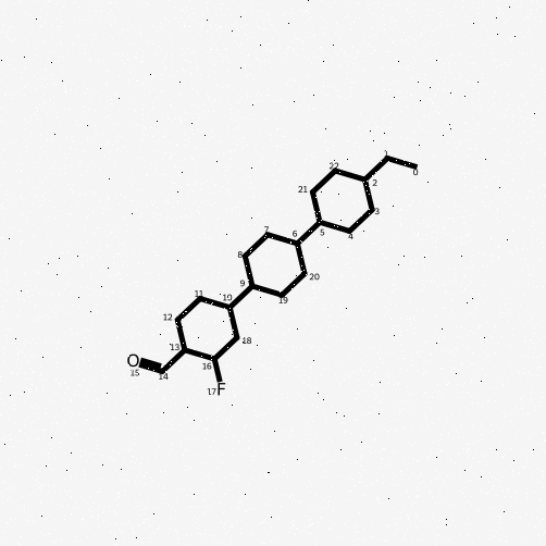 CCC1CCC(C2CCC(C3CCC(C=O)C(F)C3)CC2)CC1